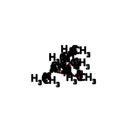 CC(C)Cn1c2c(c3cc(-c4ccc5c(c4)c4cc(CCCc6ccc(-c7nc(-c8ccc(CCCC9=Cc%10c(n(CC(C)C)c%11ccc(-c%12ccc%13c(c%12)c%12c(n%13CC(C)C)CCC=C%12)cc%10%11)CC9)cc8)nc(-c8ccc(CCCc9ccc%10c(c9)c9c(n%10CC(C)C)C=CC(c%10ccc%11c(c%10)c%10ccccc%10n%11CC(C)C)C9)cc8)n7)cc6)ccc4n5CC(C)C)ccc31)CCC=C2